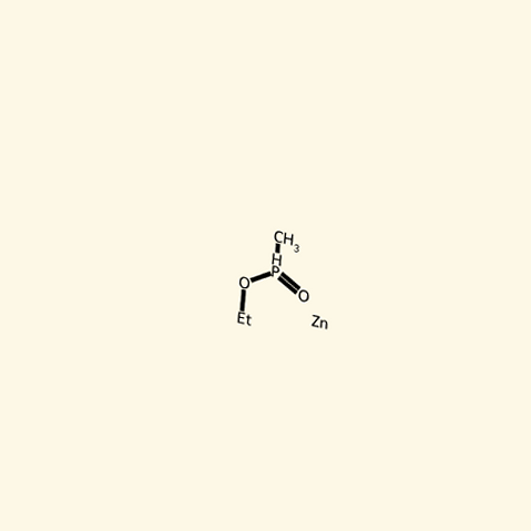 CCO[PH](C)=O.[Zn]